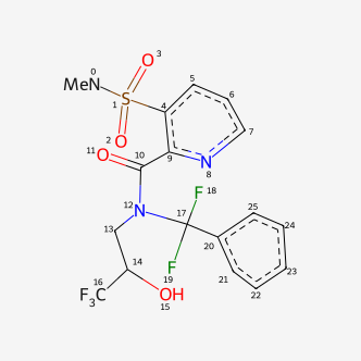 CNS(=O)(=O)c1cccnc1C(=O)N(CC(O)C(F)(F)F)C(F)(F)c1ccccc1